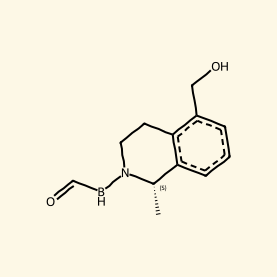 C[C@H]1c2cccc(CO)c2CCN1BC=O